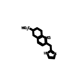 Cl.O=C(O)C1CCc2cc(Cc3ncc[nH]3)ccc2C1